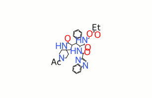 CCC(=O)OCNC(=O)C(NC(=O)c1cnc2ccccc2n1)C(c1ccccc1)C1CC2(CCN(C(C)=O)CC2)NC1=O